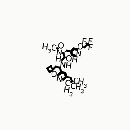 CC(=O)N[C@@H](Cc1ccnc(OCC(F)(F)F)c1)[C@H](O)CN[C@H]1CC2(CCC2)Oc2ncc(CC(C)(C)C)cc21